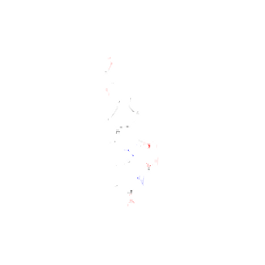 O=CCOc1ccc2c(c1)CN([C@H]1CCC(=O)NC1O)C2=O